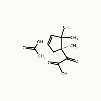 CC(=O)O.CC1(C)C=CC[C@]1(C)C(=O)C(=O)O